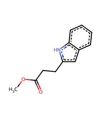 COC(=O)CCc1cc2ccccc2[nH]1